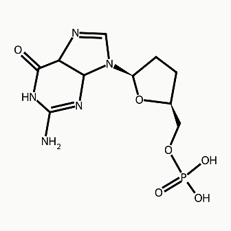 NC1=NC2C(N=CN2[C@H]2CC[C@@H](COP(=O)(O)O)O2)C(=O)N1